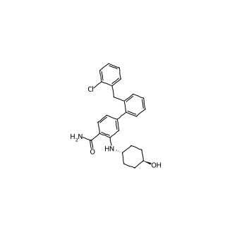 NC(=O)c1ccc(-c2ccccc2Cc2ccccc2Cl)cc1N[C@H]1CC[C@H](O)CC1